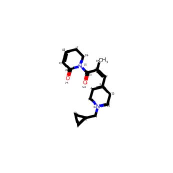 C/C(=C/C1CCN(CC2CC2)CC1)C(=O)N1CCC=CC1=O